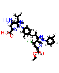 CCOC(=O)c1cc(Cl)c2c(C(C)Cc3ccc(-n4nc(C(C)C)c5c(N)cc(C(=O)O)nc54)cc3C)nn(-c3cccc(C)c3)c2n1